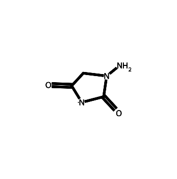 NN1CC(=O)[N]C1=O